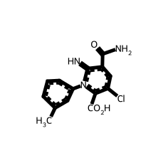 Cc1cccc(-n2c(C(=O)O)c(Cl)cc(C(N)=O)c2=N)c1